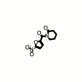 O=C1CCCCN1C(=O)c1ccc([N+](=O)[O-])o1